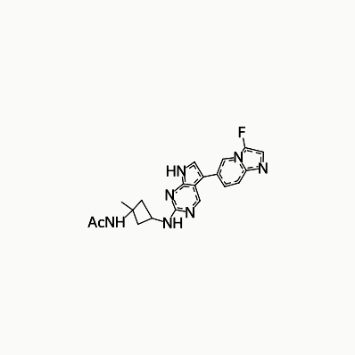 CC(=O)NC1(C)CC(Nc2ncc3c(-c4ccc5ncc(F)n5c4)c[nH]c3n2)C1